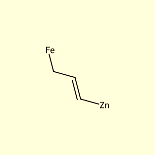 [Fe][CH2]C=[CH][Zn]